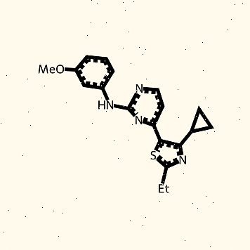 CCc1nc(C2CC2)c(-c2ccnc(Nc3cccc(OC)c3)n2)s1